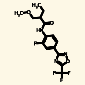 CCC(COC)C(=O)Nc1ccc(-c2noc(C(F)(F)F)n2)cc1F